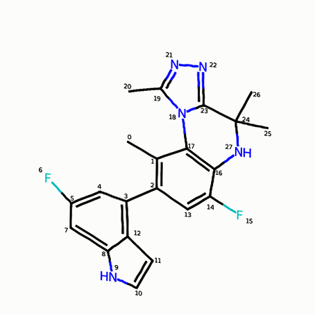 Cc1c(-c2cc(F)cc3[nH]ccc23)cc(F)c2c1-n1c(C)nnc1C(C)(C)N2